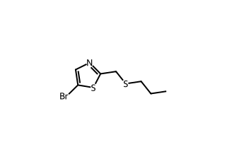 CCCSCc1ncc(Br)s1